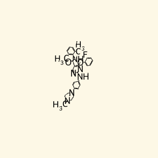 Cc1cccc(C)c1NC(=O)c1cnc(Nc2ccc(N3CCN(C)CC3)cc2)nc1Oc1ccccc1F